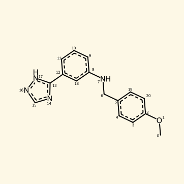 COc1ccc(CNc2cccc(-c3ncn[nH]3)c2)cc1